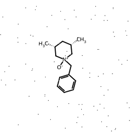 C[C@@H]1C[C@H](C)C[N+]([O-])(Cc2ccccc2)C1